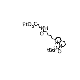 CCOC(=O)CCNC(=O)CCCCc1ccc2c(n1)N(C(=O)OC(C)(C)C)CCC2